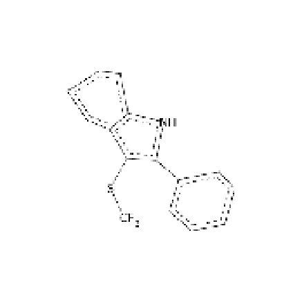 FC(F)(F)Sc1c(-c2ccccc2)[nH]c2ccccc12